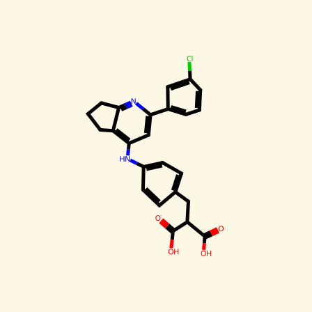 O=C(O)C(Cc1ccc(Nc2cc(-c3cccc(Cl)c3)nc3c2CCC3)cc1)C(=O)O